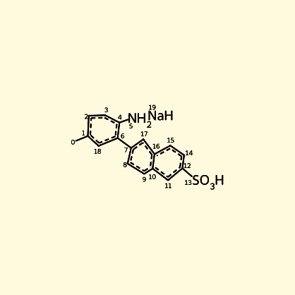 Cc1ccc(N)c(-c2ccc3cc(S(=O)(=O)O)ccc3c2)c1.[NaH]